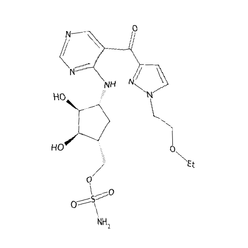 CCOCCn1ccc(C(=O)c2cncnc2N[C@@H]2C[C@H](COS(N)(=O)=O)[C@@H](O)[C@H]2O)n1